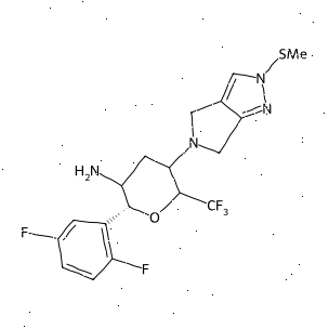 CSn1cc2c(n1)CN(C1CC(N)[C@@H](c3cc(F)ccc3F)OC1C(F)(F)F)C2